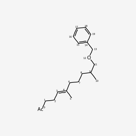 CC(=O)CC/C=C(\C)CCCC(C)COCc1ccccc1